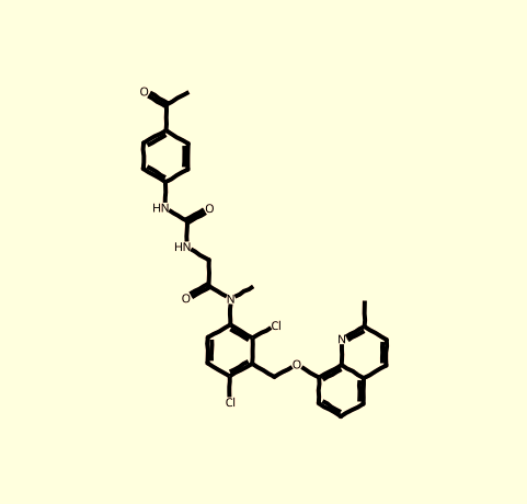 CC(=O)c1ccc(NC(=O)NCC(=O)N(C)c2ccc(Cl)c(COc3cccc4ccc(C)nc34)c2Cl)cc1